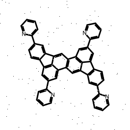 c1ccc(-c2ccc3c(c2)c2cc4c(cc5c6cc(-c7ccccn7)ccc6c6cc(-c7ccccn7)cc4c65)c4cc(-c5ccccn5)cc3c42)nc1